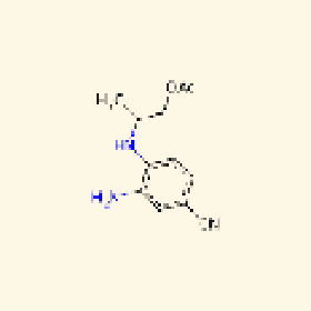 CC(=O)OC[C@@H](C)Nc1ccc(C#N)cc1N